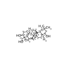 CC1(C)CC(O)C2(C)CC[C@]3(C)C(=CCC4C5(C)CCC(O)[C@](C)(CO)C5CCC43C)C2C1